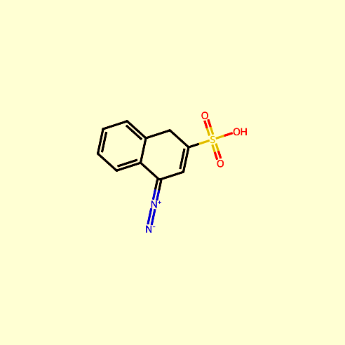 [N-]=[N+]=C1C=C(S(=O)(=O)O)Cc2ccccc21